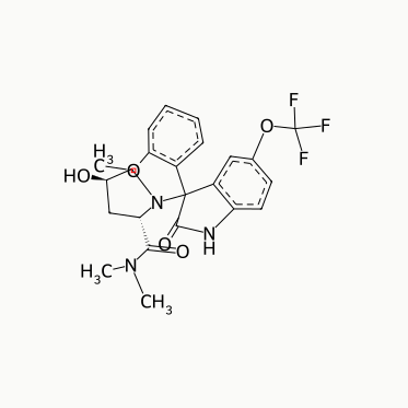 COc1ccccc1C1(N2C[C@H](O)C[C@H]2C(=O)N(C)C)C(=O)Nc2ccc(OC(F)(F)F)cc21